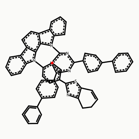 C1=C=C(c2ccc(-c3nc(-c4ccc(-c5ccccc5)cc4)nc(-n4c5ccccc5c5ccc6c7ccccc7n(-c7ccc(-c8nc9c(s8)C=CCC9)cc7)c6c54)n3)cc2)C=CC=1